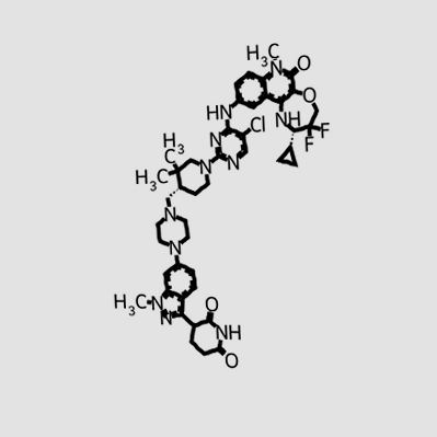 Cn1nc(C2CCC(=O)NC2=O)c2ccc(N3CCN(C[C@H]4CCN(c5ncc(Cl)c(Nc6ccc7c(c6)c6c(c(=O)n7C)OCC(F)(F)[C@H](C7CC7)N6)n5)CC4(C)C)CC3)cc21